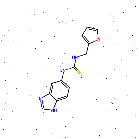 S=C(NCc1ccco1)Nc1ccc2[nH]cnc2c1